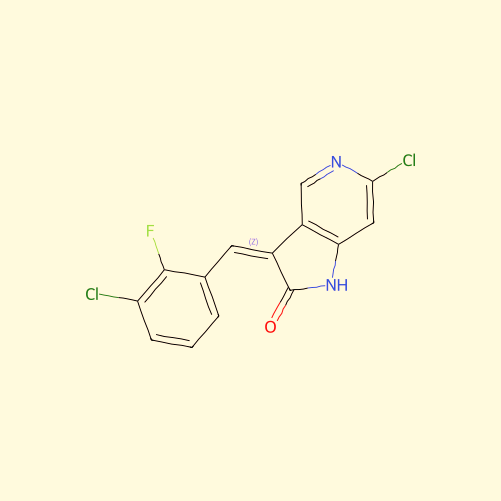 O=C1Nc2cc(Cl)ncc2/C1=C/c1cccc(Cl)c1F